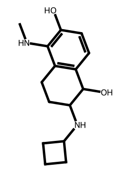 CNc1c(O)ccc2c1CCC(NC1CCC1)C2O